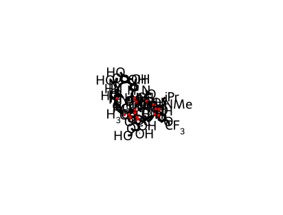 CN[C@H](CC(C)C)C(=O)N[C@H]1C(=O)N[C@@H](CC(N)=O)C(=O)N[C@H]2C(=O)N[C@H]3C(=O)N[C@H](C(=O)N[C@@H](C(=O)NO)c4cc(O)cc(O)c4-c4cc3ccc4O)[C@H](O)c3ccc(c(Cl)c3)Oc3cc2cc(c3O[C@@H]2O[C@H](CO)[C@@H](O)[C@H](O)[C@H]2O[C@H]2C[C@](C)(NCC3CN(C(=O)Nc4ccc(OC(F)(F)F)cc4)CCO3)[C@H](O)[C@H](C)O2)Oc2ccc(cc2Cl)[C@H]1O